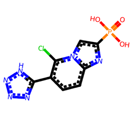 O=P(O)(O)c1cn2c(Cl)c(-c3nnn[nH]3)ccc2n1